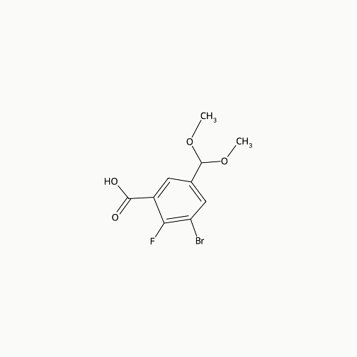 COC(OC)c1cc(Br)c(F)c(C(=O)O)c1